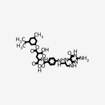 CC1CC(OC(=O)C(CC(NC(=O)c2ccc(NCC3CNc4nc(N)[nH]c(=O)c4N3)cc2)C(=O)O)C(=O)O)CC(C(C)C)C1